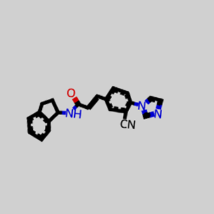 N#Cc1cc(C=CC(=O)NC2CCc3ccccc32)ccc1-n1ccnc1